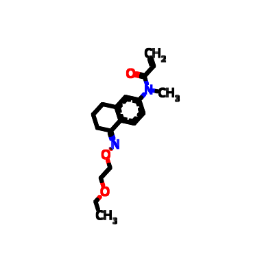 C=CC(=O)N(C)c1ccc2c(c1)CCC/C2=N\OCCOCC